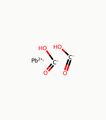 O=[C-]O.O=[C-]O.[Pb+2]